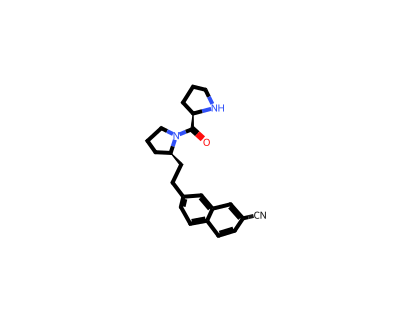 N#Cc1ccc2ccc(CC[C@H]3CCCN3C(=O)[C@H]3CCCN3)cc2c1